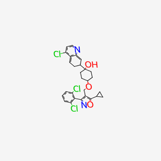 O[C@]1(C2C=c3nccc(Cl)c3=CC2)CC[C@H](OCc2c(-c3c(Cl)cccc3Cl)noc2C2CC2)CC1